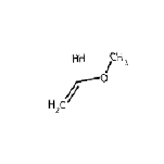 C=COC.[HH]